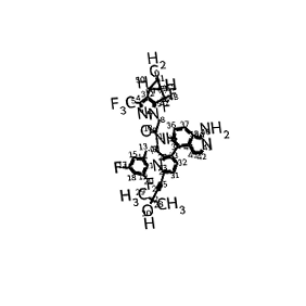 C=C1[C@@H]2c3c(C(F)(F)F)nn(CC(=O)N[C@@H](Cc4cc(F)cc(F)c4)c4nc(C#CC(C)(C)O)ccc4-c4cccc5c(N)nccc45)c3C(F)(F)[C@H]12